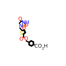 O=C1CN(Cc2ccc(C(=O)OCc3ccc(C(=O)O)cc3)s2)S(=O)(=O)N1